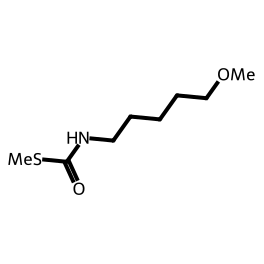 COCCCCCNC(=O)SC